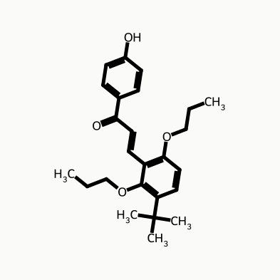 CCCOc1ccc(C(C)(C)C)c(OCCC)c1C=CC(=O)c1ccc(O)cc1